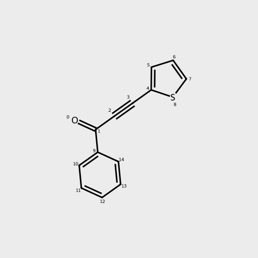 O=C(C#Cc1cccs1)c1ccccc1